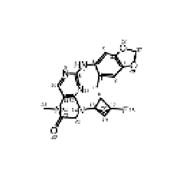 Cc1cc2c(cc1Nc1ncc3c(n1)N(C14CC(F)(C1)C4)CC(=O)N3C)OCO2